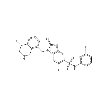 O=c1oc2cc(S(=O)(=O)Nc3cccc(F)n3)c(F)cc2n1Cc1cccc2c1CNC[C@@H]2F